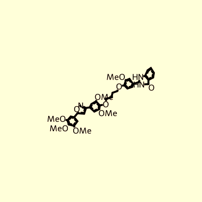 COc1cc(C2NC(=O)c3ccccc3N2)ccc1OCCCCOc1c(OC)cc(-c2cc(-c3cc(OC)c(OC)c(OC)c3)on2)cc1OC